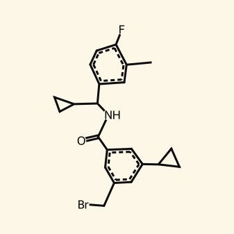 Cc1cc(C(NC(=O)c2cc(CBr)cc(C3CC3)c2)C2CC2)ccc1F